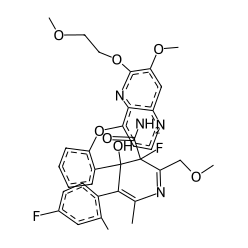 COCCOc1nc2c(Oc3ccccc3C3(O)C(c4ccc(F)cc4C)=C(C)N=C(COC)C3(F)C(N)=O)ccnc2cc1OC